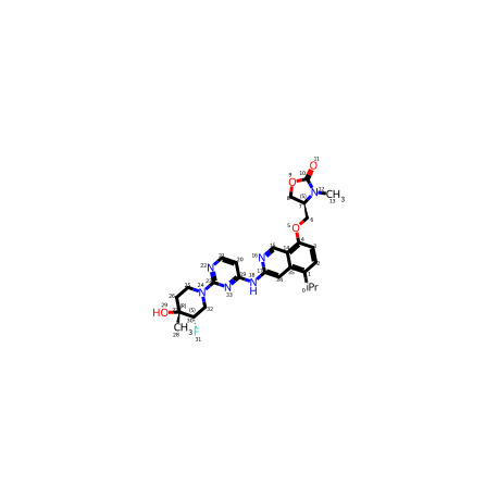 CC(C)c1ccc(OC[C@H]2COC(=O)N2C)c2cnc(Nc3ccnc(N4CC[C@@](C)(O)[C@@H](F)C4)n3)cc12